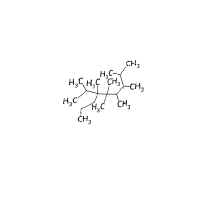 CCCC(C)(C(C)C)C(C)(C)C(C)[C](C)C(C)C